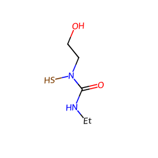 CCNC(=O)N(S)CCO